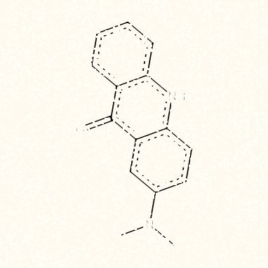 CN(C)c1ccc2[nH]c3ccccc3c(=O)c2c1